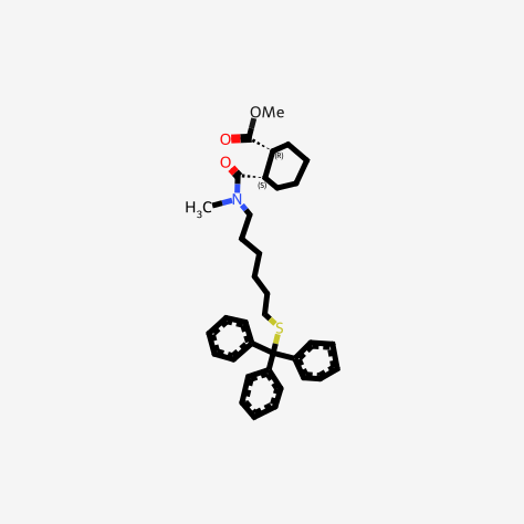 COC(=O)[C@@H]1CCCC[C@@H]1C(=O)N(C)CCCCCCSC(c1ccccc1)(c1ccccc1)c1ccccc1